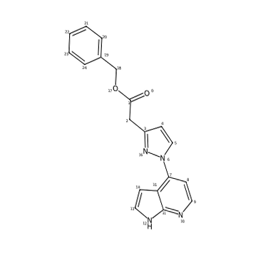 O=C(Cc1ccn(-c2ccnc3[nH]ccc23)n1)OCc1ccccc1